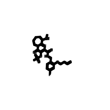 C=CCCOc1cc(F)ccc1CNC(=O)c1nc2n(c(=O)c1OS(C)(=O)=O)CCCCC2NC